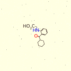 O=C(O)CNc1ccccc1C(=O)C1CCCCC1